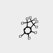 Clc1cc2c(c(Cl)c1Cl)C(Cl)(Cl)C(Cl)(Cl)C2(Cl)Cl